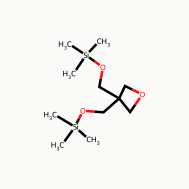 C[Si](C)(C)OCC1(CO[Si](C)(C)C)COC1